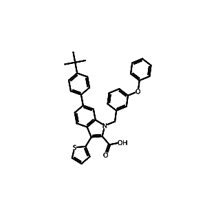 CC(C)(C)c1ccc(-c2ccc3c(-c4cccs4)c(C(=O)O)n(Cc4cccc(Oc5ccccc5)c4)c3c2)cc1